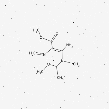 C=N/C(C(=O)OC)=C(/N)N(C)C(C)OC